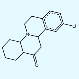 O=C1CC2c3cc(Cl)ccc3CCN2C2CCCCC12